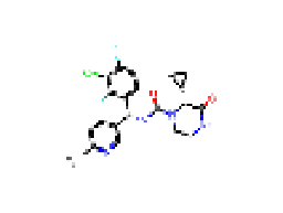 O=C1NCCN(C(=O)N[C@H](c2ccc(C(F)(F)F)nc2)c2ccc(F)c(Cl)c2F)[C@@H]1C1CC1